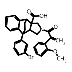 C=C(C(=O)N1CC2C3(c4cccc(Br)c4)CCC(c4ccccc43)C2(C(=O)O)C1)c1ccccc1OC